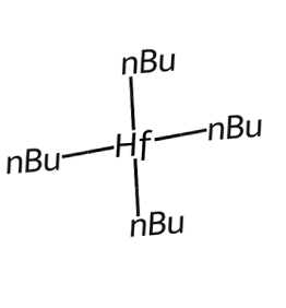 CCC[CH2][Hf]([CH2]CCC)([CH2]CCC)[CH2]CCC